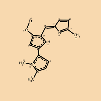 CCOc1cc(-c2ccc(C)n2C)[nH]c1C=C1C=CC(C)=N1